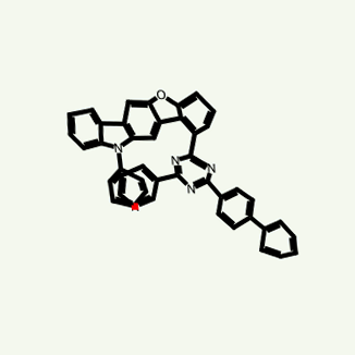 c1ccc(-c2ccc(-c3nc(-c4cccnc4)nc(-c4cccc5oc6cc7c8ccccc8n(-c8ccccc8)c7cc6c45)n3)cc2)cc1